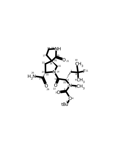 CN(C(=O)OC(C)(C)C)[C@@H](CC(C)(C)F)C(=O)N1C[C@]2(CCNC2=O)C[C@H]1C(N)=O